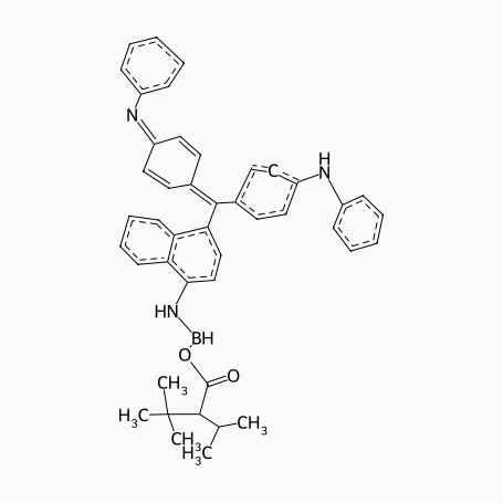 CC(C)C(C(=O)OBNc1ccc(C(=C2C=CC(=Nc3ccccc3)C=C2)c2ccc(Nc3ccccc3)cc2)c2ccccc12)C(C)(C)C